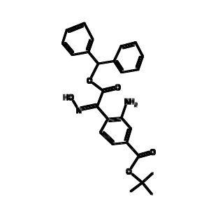 CC(C)(C)OC(=O)c1ccc(C(=NO)C(=O)OC(c2ccccc2)c2ccccc2)c(N)c1